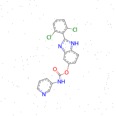 O=C(Nc1cccnc1)Oc1ccc2[nH]c(-c3c(Cl)cccc3Cl)nc2c1